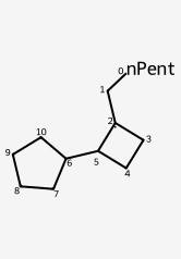 CCCCCC[C]1CCC1C1CCCC1